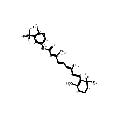 CC1=C(/C=C/C(C)=C/C=C/C(C)=C/C(=O)Nc2ccc(O)c(C(F)(F)F)c2)C(C)(C)CCC1